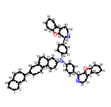 c1ccc2cc(-c3ccc4c(ccc5cc(N(c6ccc(-c7nccc8c7oc7ccccc78)cc6)c6ccc(-c7nccc8c7oc7ccccc78)cc6)ccc54)c3)ccc2c1